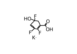 O=C(O)C1=C(F)C(F)=CC(O)(F)C1.[K]